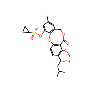 COc1c([C@@H](O)CC(C)C)ccc2c1C(=O)OCc1cc(C)cc(OS(=O)(=O)C3CC3)c1O2